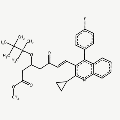 COC(=O)CC(CC(=O)C=Cc1c(C2CC2)nc2ccccc2c1-c1ccc(F)cc1)O[Si](C)(C)C(C)(C)C